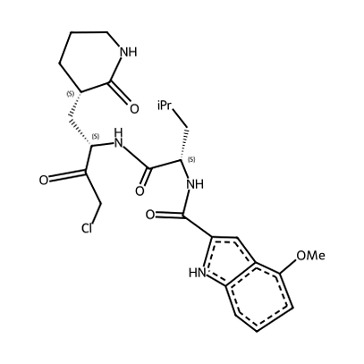 COc1cccc2[nH]c(C(=O)N[C@@H](CC(C)C)C(=O)N[C@@H](C[C@@H]3CCCNC3=O)C(=O)CCl)cc12